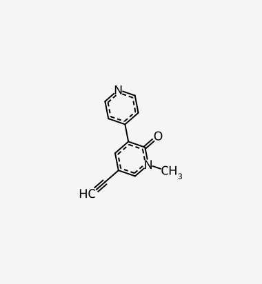 C#Cc1cc(-c2ccncc2)c(=O)n(C)c1